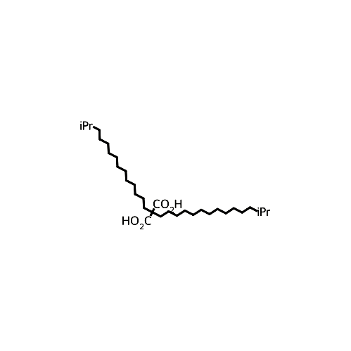 CC(C)CCCCCCCCCCCCC(CCCCCCCCCCCCC(C)C)(C(=O)O)C(=O)O